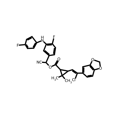 CC1(C)C(C=C(Cl)c2ccc3c(c2)OCO3)C1C(=O)OC(C#N)c1ccc(F)c(Nc2ccc(F)cc2)c1